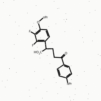 CCCOc1ccc(C(CCC(=O)c2ccc(CCC)cc2)C(=O)O)c(F)c1F